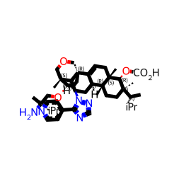 CC(C)[C@@H](C)[C@@]1(C)CC[C@]2(C)[C@H]3CC[C@@H]4[C@@]5(COC[C@@]4(C)[C@@H](OC[C@](C)(N)C(C)C)[C@H](n4ncnc4-c4ccncc4)C5)C3=CC[C@]2(C)[C@@H]1OC(=O)O